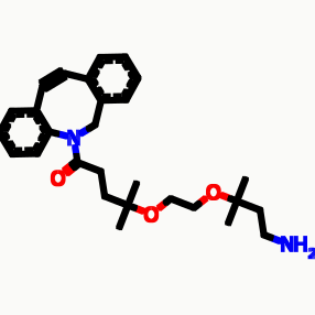 CC(C)(CCN)OCCOC(C)(C)CCC(=O)N1Cc2ccccc2C#Cc2ccccc21